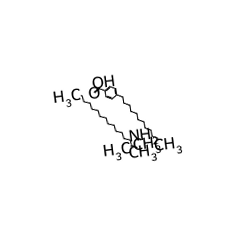 CCCCCCCCCCCCCC(N)C(C)(C)C.CCCCCCCCCCCCc1ccc(C(=O)O)cc1